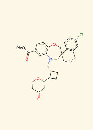 COC(=O)c1ccc2c(c1)N(C[C@@H]1CC[C@H]1[C@@H]1CC(=O)CCO1)CC1(CCCc3cc(Cl)ccc31)CO2